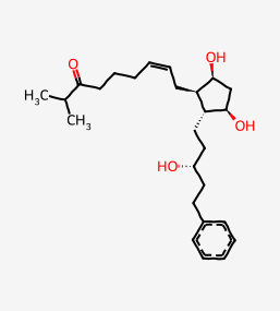 CC(C)C(=O)CCC/C=C\C[C@@H]1[C@@H](CC[C@@H](O)CCc2ccccc2)[C@H](O)C[C@@H]1O